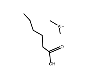 CCCCCC(=O)O.[CH3][AlH][CH3]